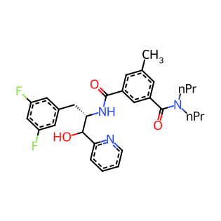 CCCN(CCC)C(=O)c1cc(C)cc(C(=O)N[C@@H](Cc2cc(F)cc(F)c2)C(O)c2ccccn2)c1